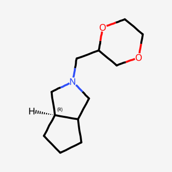 C1CC2CN(CC3COCCO3)C[C@@H]2C1